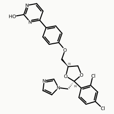 Oc1nccc(-c2ccc(OC[C@H]3CO[C@@](Cn4ccnc4)(c4ccc(Cl)cc4Cl)O3)cc2)n1